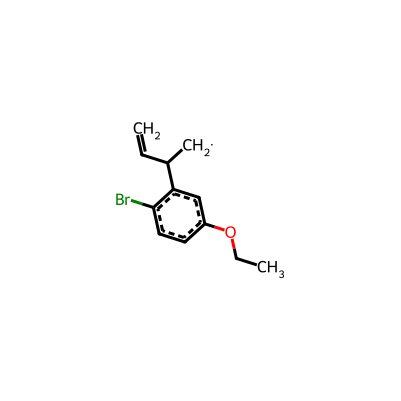 [CH2]C(C=C)c1cc(OCC)ccc1Br